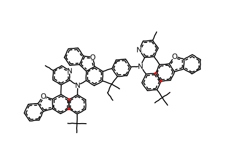 CCC1(C)c2cc(N(c3ccc(C(C)(C)C)cc3)c3ncc(C)cc3-c3cccc4c3oc3ccccc34)ccc2-c2c1cc(N(c1ccc(C(C)(C)C)cc1)c1ncc(C)cc1-c1cccc3c1oc1ccccc13)c1c2oc2ccccc21